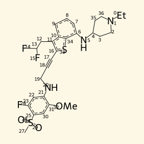 CCN1CCC(Nc2cccc3c(CC(F)F)c(C#CCNc4cc(F)c(S(C)(=O)=O)cc4OC)sc23)CC1